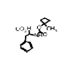 CC1(OC(=O)NC(Cc2ccccc2)C(=O)O)CCC1